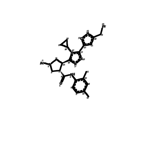 CC(=O)N1C[C@@H](C(=O)Nc2ccc(C)cc2C)[C@H](c2nnc(-c3cc(CC(C)C)no3)n2C2CC2)C1